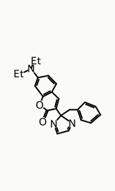 CCN(CC)c1ccc2cc(C3(Cc4ccccc4)N=CC=N3)c(=O)oc2c1